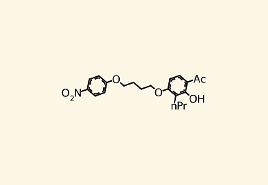 CCCc1c(OCCCCOc2ccc([N+](=O)[O-])cc2)ccc(C(C)=O)c1O